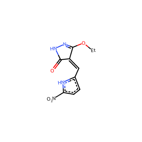 CCOC1=NNC(=O)C1=Cc1ccc([N+](=O)[O-])[nH]1